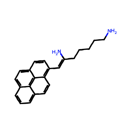 NCCCCCC(N)=Cc1ccc2ccc3cccc4ccc1c2c34